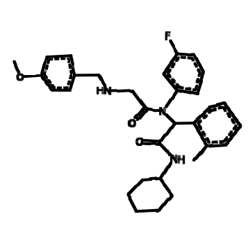 COc1ccc(CNCC(=O)N(c2cccc(F)c2)C(C(=O)NC2CCCCC2)c2ccccc2C)cc1